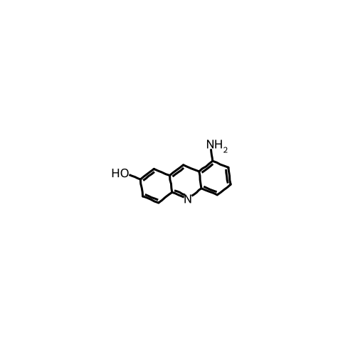 Nc1cccc2nc3ccc(O)cc3cc12